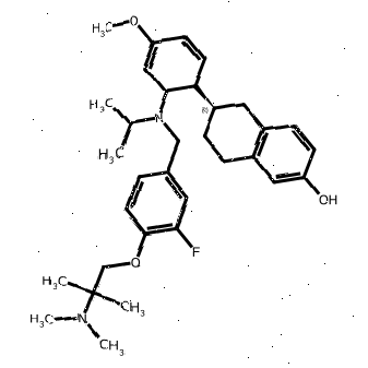 COC1=CC(N(Cc2ccc(OCC(C)(C)N(C)C)c(F)c2)C(C)C)C([C@@H]2CCc3cc(O)ccc3C2)C=C1